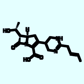 C/C=C/CC1=NCC(C2=C(C(=O)O)N3C(=O)[C@H]([C@@H](C)O)[C@H]3C2)CN1